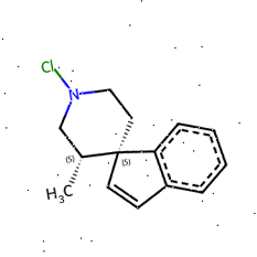 C[C@@H]1CN(Cl)CC[C@]12C=Cc1ccccc12